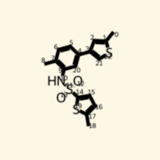 Cc1cc(-c2ccc(C)c(NS(=O)(=O)c3ccc(C)s3)c2)cs1